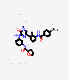 Cc1c(NC(=O)c2ccc(C(C)(C)C)cc2)cccc1-c1cn(C)c(=O)c(Nc2cccc(NC(=O)C3CCCO3)c2)n1